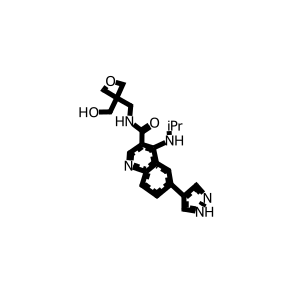 CC(C)Nc1c(C(=O)NCC2(CO)COC2)cnc2ccc(-c3cn[nH]c3)cc12